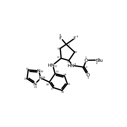 CC(C)(C)OC(=O)NC1CC(F)(F)CC1Nc1ccccc1-n1nccn1